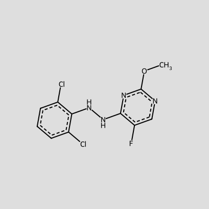 COc1ncc(F)c(NNc2c(Cl)cccc2Cl)n1